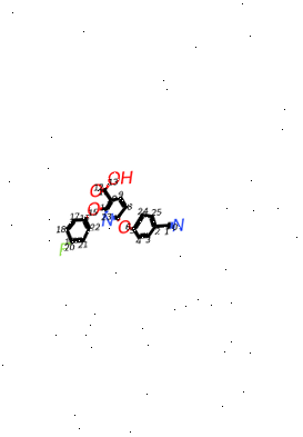 N#Cc1ccc(Oc2ccc(C(=O)O)c(Oc3ccc(F)cc3)n2)cc1